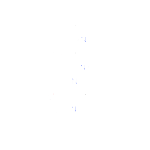 CN(C=O)CN=NC(=O)N(C)C